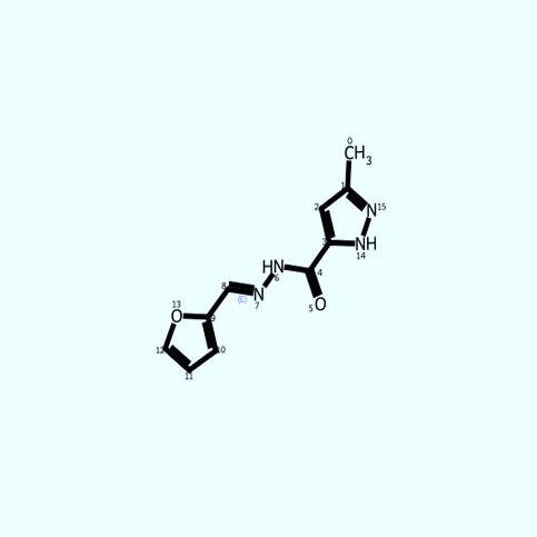 Cc1cc(C(=O)N/N=C/c2ccco2)[nH]n1